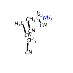 CC#N.CC#N.CC#N.CC#N.N